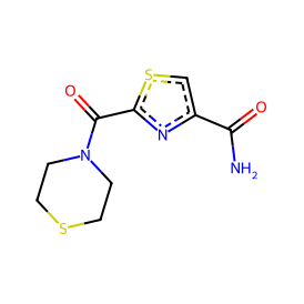 NC(=O)c1csc(C(=O)N2CCSCC2)n1